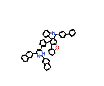 c1ccc(-c2ccc(-c3nc4ccccc4c4c(-c5cccc(-c6cc(-c7ccc8ccccc8c7)nc(-c7ccc8ccccc8c7)n6)c5)c5c(cc34)oc3ccccc35)cc2)cc1